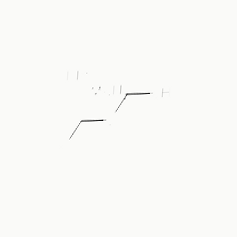 Br.CCOCC.[MgH2]